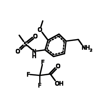 COc1cc(CN)ccc1NS(C)(=O)=O.O=C(O)C(F)(F)F